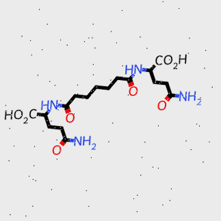 NC(=O)CCC(NC(=O)CCCCCC(=O)NC(CCC(N)=O)C(=O)O)C(=O)O